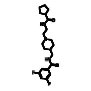 O=C(NCC1CCN(CCNC(=O)C2CCCC2)CC1)c1cc(F)cc(F)c1